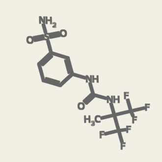 CC(NC(=O)Nc1cccc(S(N)(=O)=O)c1)(C(F)(F)F)C(F)(F)F